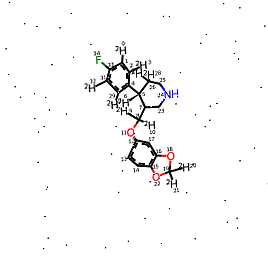 [2H]c1c([2H])c([C@@]2([2H])C(C([2H])([2H])Oc3ccc4c(c3)OC([2H])([2H])O4)CNCC2([2H])[2H])c([2H])c([2H])c1F